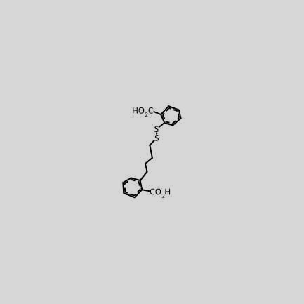 O=C(O)c1ccccc1CCCCSSc1ccccc1C(=O)O